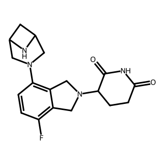 O=C1CCC(N2Cc3c(F)ccc(N4CC5CC(C4)N5)c3C2)C(=O)N1